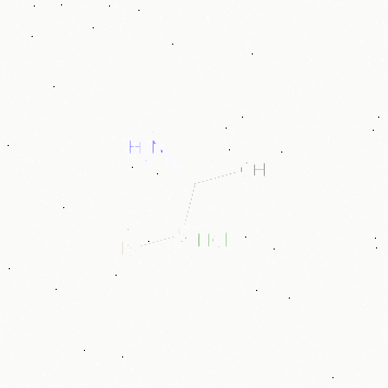 CC(N)SS.Cl